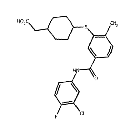 Cc1ccc(C(=O)Nc2ccc(F)c(Cl)c2)cc1SC1CCC(CC(=O)O)CC1